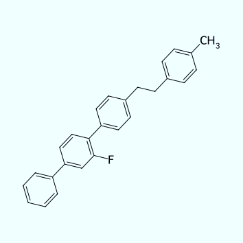 Cc1ccc(CCc2ccc(-c3ccc(-c4ccccc4)cc3F)cc2)cc1